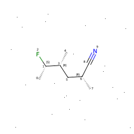 C[C@H](F)[C@H](C)C[C@@H](C)C#N